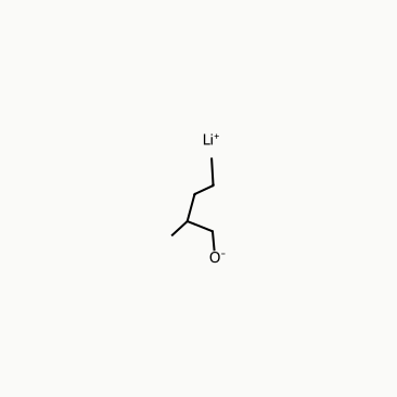 CCCC(C)C[O-].[Li+]